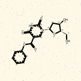 O=C(Oc1ccccc1)c1cn([C@@H]2C[C@@H](O)[C@H](CO)O2)c(=O)[nH]c1=O